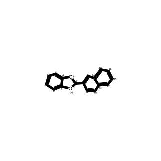 [c]1c(C2Oc3ccccc3O2)ccc2ccccc12